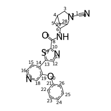 N#CN1CC2CC(NC(=O)c3ncc(-c4ccncc4Oc4ccccc4)s3)C1C2